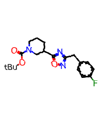 CC(C)(C)OC(=O)N1CCCC(c2nc(Cc3ccc(F)cc3)no2)C1